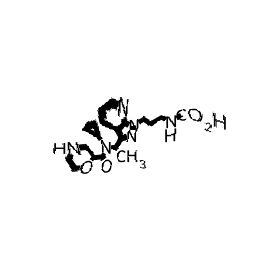 CC(c1nn(CCCNC(=O)O)c2ncccc12)N(C(=O)C1CNCCO1)C1CC1